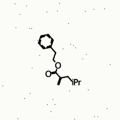 C=C(CC(C)C)C(=O)OCCc1ccccc1